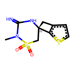 CN1C(=N)N[C@@]2(Cc3ccsc32)CS1(=O)=O